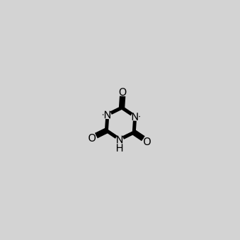 O=C1[N]C(=O)NC(=O)[N]1